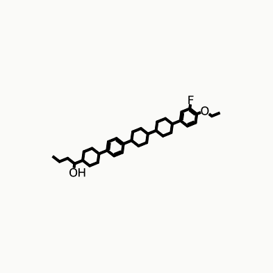 CCCC(O)C1CCC(c2ccc(C3CCC(C4CCC(c5ccc(OCC)c(F)c5)CC4)CC3)cc2)CC1